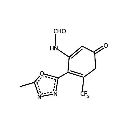 Cc1nnc(C2=C(C(F)(F)F)CC(=O)C=C2NC=O)o1